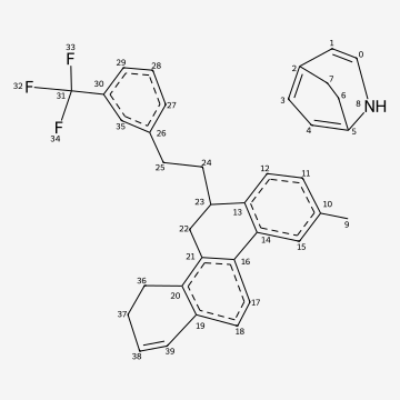 C1=CC2=CC=C(CC2)N1.Cc1ccc2c(c1)-c1ccc3c(c1CC2CCc1cccc(C(F)(F)F)c1)CCC=C3